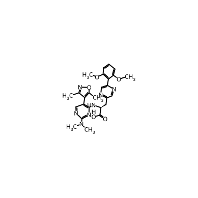 COc1cccc(OC)c1-c1cnc(C[C@H](Nc2nc(N(C)C)ncc2-c2c(C)noc2C)C(=O)O)cn1